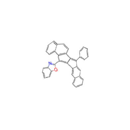 c1ccc(C2=C3C(=C(c4nc5ccccc5o4)c4c3ccc3ccccc43)c3cc4ccccc4cc32)cc1